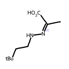 C/C(=N/NCCC(C)(C)C)C(=O)O